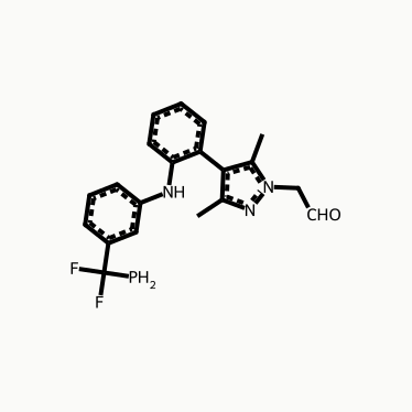 Cc1nn(CC=O)c(C)c1-c1ccccc1Nc1cccc(C(F)(F)P)c1